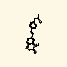 CC(=O)Cc1ccc(/C=C/c2ccc3c(c2)NC(=O)CO3)cc1